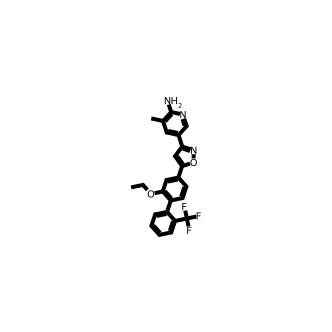 CCOc1cc(-c2cc(-c3cnc(N)c(C)c3)no2)ccc1-c1ccccc1C(F)(F)F